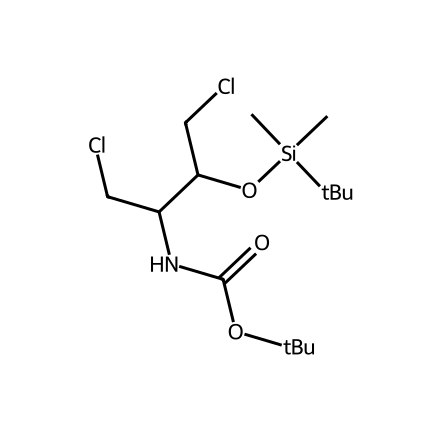 CC(C)(C)OC(=O)NC(CCl)C(CCl)O[Si](C)(C)C(C)(C)C